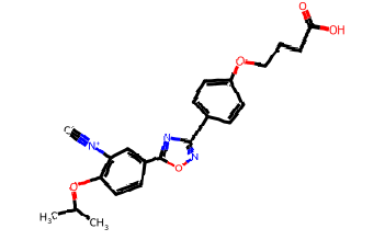 [C-]#[N+]c1cc(-c2nc(-c3ccc(OCCCC(=O)O)cc3)no2)ccc1OC(C)C